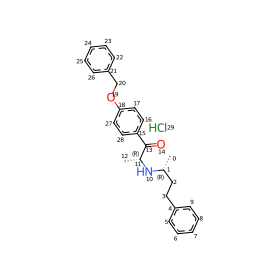 C[C@H](CCc1ccccc1)N[C@H](C)C(=O)c1ccc(OCc2ccccc2)cc1.Cl